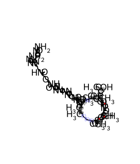 CO[C@H]1C[C@@H]2CC[C@@H](C)[C@@](O)(O2)C(=O)C(=O)N2CCCC[C@H]2C(=O)O[C@H]([C@H](C)C[C@@H]2CC[C@@H](O)[C@H](OC)C2)C[C@@H](O)[C@H](C)/C=C(\C)[C@@H](O)[C@@H](OC)C(=NOCC(=O)N2CCc3nc(N4CCN(c5ncc(C(=O)NCCOCCC(=O)NCCCCn6nc(-c7ccc8oc(N)nc8c7)c7c(N)ncnc76)cn5)CC4)ncc3C2)[C@H](C)C[C@H](C)/C=C/C=C/C=C/1C